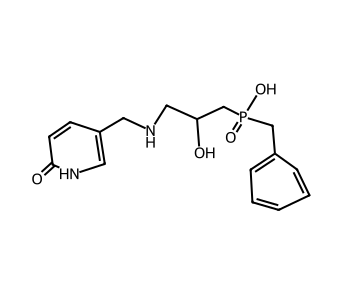 O=c1ccc(CNCC(O)CP(=O)(O)Cc2ccccc2)c[nH]1